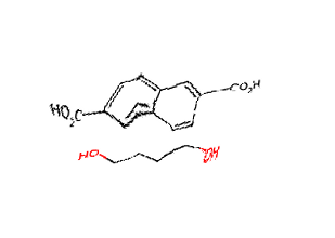 O=C(O)c1ccc2cc(C(=O)O)ccc2c1.OCCCCO